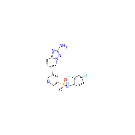 Nc1nc2ccc(-c3cncc(S(=O)(=O)Nc4ccc(F)cc4F)c3)cn2n1